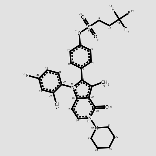 Cc1c(-c2ccc(OS(=O)(=O)CCC(F)(F)F)cc2)n(-c2ccc(F)cc2Cl)c2ccn(N3CCCCC3)c(=O)c12